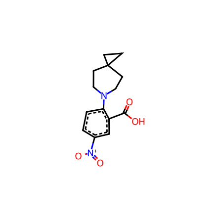 O=C(O)c1cc([N+](=O)[O-])ccc1N1CCC2(CC1)CC2